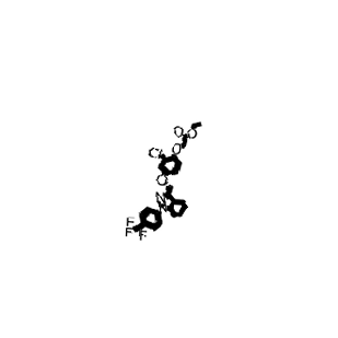 CCOC(=O)COc1ccc(OCc2nn(-c3ccc(C(F)(F)F)cc3)c3ccccc23)cc1Cl